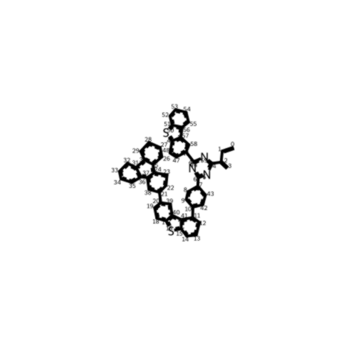 C=CC(=C)c1nc(-c2ccc(-c3cccc4sc5ccc(-c6ccc7c8ccccc8c8ccccc8c7c6)cc5c34)cc2)nc(-c2ccc3sc4ccccc4c3c2)n1